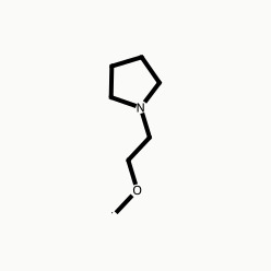 [CH2]OCCN1CCCC1